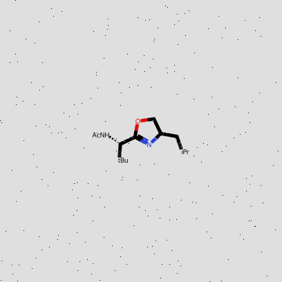 CC(=O)N[C@H](C1=NC(CC(C)C)CO1)C(C)(C)C